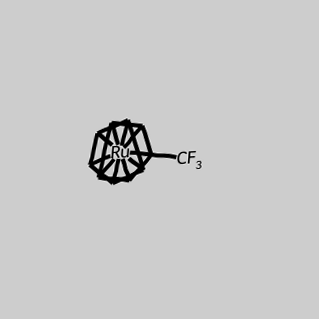 FC(F)(F)[C]12[CH]3[CH]4[CH]5[CH]1[Ru]45321678[CH]2[CH]1[CH]6[CH]7[CH]28